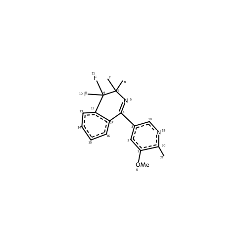 COc1cc(C2=NC(C)(C)C(F)(F)c3ccccc32)cnc1C